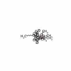 C=CCCCCCCO[C@@H]1OC2COC(c3ccccc3)O[C@@H]2C(O[C@@H]2OC3COC(c4ccccc4)O[C@@H]3C(O)C2O[C@@H]2OC(C)[C@@H](OCCCC)C(OCCCC)C2OCCCC)C1OCCCC